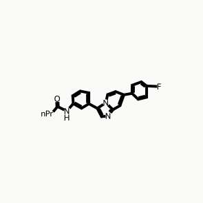 CCCC(=O)Nc1cccc(-c2cnc3cc(-c4ccc(F)cc4)ccn23)c1